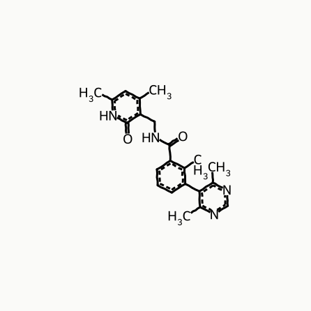 Cc1cc(C)c(CNC(=O)c2cccc(-c3c(C)ncnc3C)c2C)c(=O)[nH]1